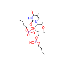 CCCCOP(O)OC[C@H]1C(C)OC(C)[C@@H](n2cc(C)c(=O)[nH]c2=O)C[C@H]1OP(=O)(O)OCCCC